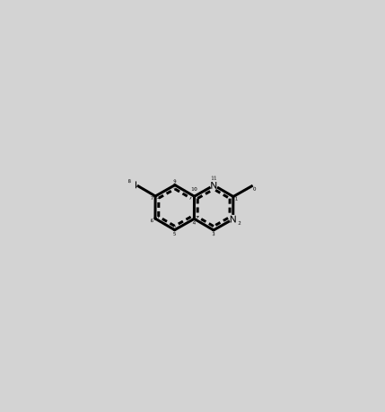 Cc1ncc2ccc(I)cc2n1